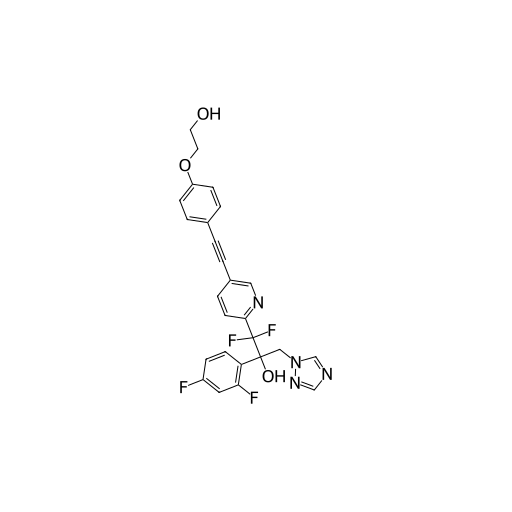 OCCOc1ccc(C#Cc2ccc(C(F)(F)C(O)(Cn3cncn3)c3ccc(F)cc3F)nc2)cc1